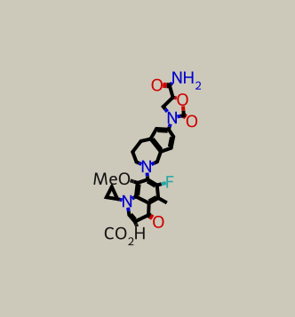 COc1c(N2CCCc3cc(N4CC(C(N)=O)OC4=O)ccc3C2)c(F)c(C)c2c(=O)c(C(=O)O)cn(C3CC3)c12